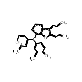 C=C/C=C\C(=C/C=C)N(C(/C=C\C)=C/C=C)c1cccc2c(=C/C=C)/c(=C\C=C)oc12